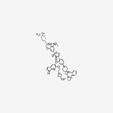 CC(C)c1ccccc1[C@H]1CCCN1C1CC2(CCN(c3ccc(C(=O)NS(=O)(=O)c4cc5c(c([N+](=O)[O-])c4)N[C@@H]([C@H]4CC[C@](C)(O)CC4)CO5)c(Oc4cc5cc[nH]c5nc4OCCN4CC(O)C4)c3)CC2)C1